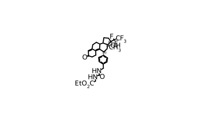 CCOC(=O)CNC(=O)NCc1ccc([C@H]2C[C@@]3(C)C(CC[C@@]3(O)C(F)(F)C(F)(F)F)C3CCC4=CC(=O)CCC4=C32)cc1